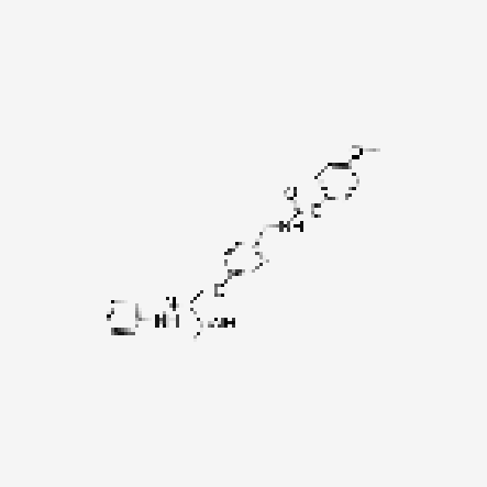 COc1ccc(OC(=O)NCc2ccc(OC/C(=N/Nc3ccccc3)C(C)=N)cc2)cc1